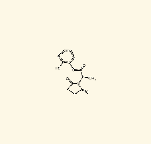 CC(C(=O)Oc1ccccc1O)N1C(=O)CCC1=O